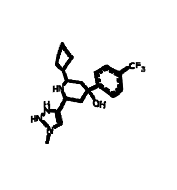 CN1C=C(C2CC(O)(c3ccc(C(F)(F)F)cc3)CC(C3CCC3)N2)NN1